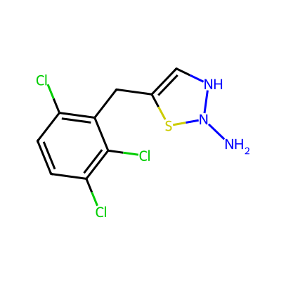 NN1NC=C(Cc2c(Cl)ccc(Cl)c2Cl)S1